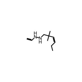 C=CNNCC(C)(C)/C=C\CC